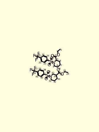 CCOC(=O)C1CCCCN1S(=O)(=O)c1ccc(C(F)(F)F)cc1.CCOC(=O)C1CCCN(S(=O)(=O)c2ccc(C(F)(F)F)cc2)C1